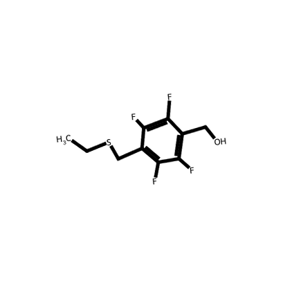 CCSCc1c(F)c(F)c(CO)c(F)c1F